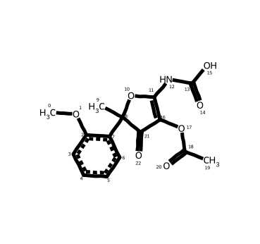 COc1ccccc1C1(C)OC(NC(=O)O)=C(OC(C)=O)C1=O